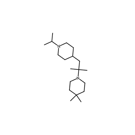 CC(C)N1CCC(CC(C)(C)N2CCC(C)(C)CC2)CC1